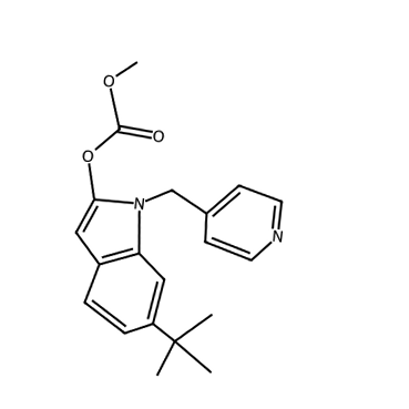 COC(=O)Oc1cc2ccc(C(C)(C)C)cc2n1Cc1ccncc1